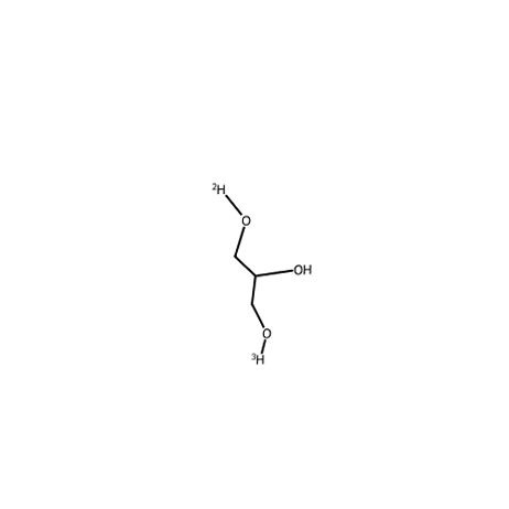 [2H]OCC(O)CO[3H]